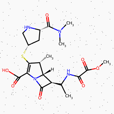 COC(=O)C(=O)NC(C)[C@H]1C(=O)N2C(C(=O)O)=C(S[C@@H]3CN[C@H](C(=O)N(C)C)C3)[C@H](C)[C@H]12